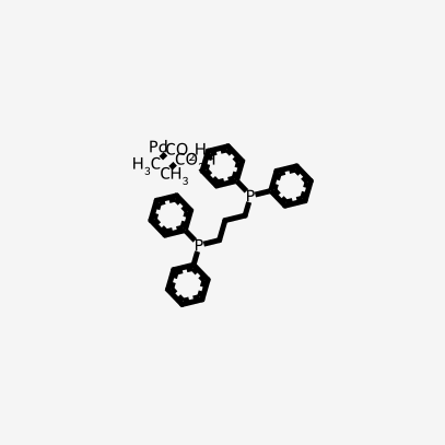 CC(=O)O.CC(=O)O.[Pd].c1ccc(P(CCCP(c2ccccc2)c2ccccc2)c2ccccc2)cc1